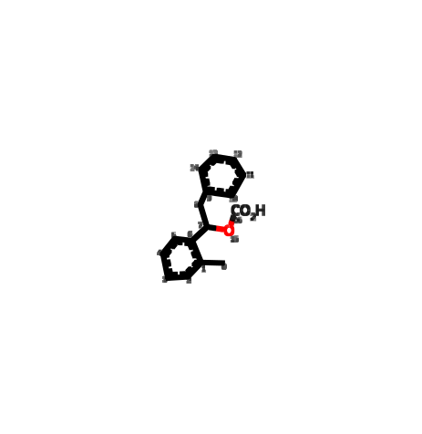 Cc1ccccc1C(Cc1ccccc1)OC(=O)O